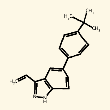 C=Cc1n[nH]c2ccc(-c3ccc(C(C)(C)C)cc3)cc12